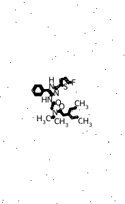 CCCC(CCC)CC(=O)N(CC(=O)Nc1nc(-c2ccc(F)s2)[nH]c1-c1ccccc1)C(C)C